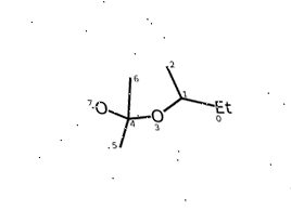 CCC(C)OC(C)(C)[O]